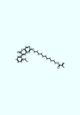 C=C(C)C(=O)OCCCCCCCCCCCOc1cc2cc(-c3ccccc3CC)c(=O)oc2cn1